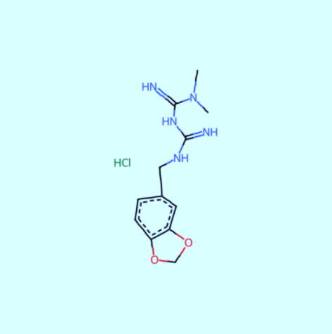 CN(C)C(=N)NC(=N)NCc1ccc2c(c1)OCO2.Cl